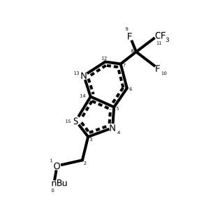 CCCCOCc1nc2cc(C(F)(F)C(F)(F)F)cnc2s1